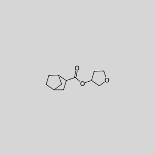 O=C(OC1CCOC1)C1CC2CCC1C2